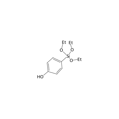 CCO[Si](OCC)(OCC)c1ccc(O)cc1